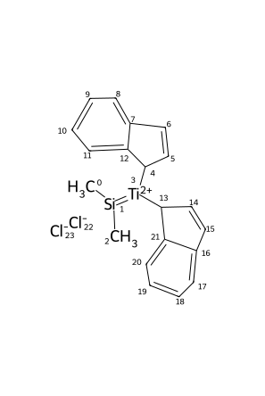 C[Si](C)=[Ti+2]([CH]1C=Cc2ccccc21)[CH]1C=Cc2ccccc21.[Cl-].[Cl-]